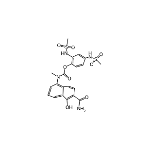 CN(C(=O)Oc1ccc(NS(C)(=O)=O)cc1NS(C)(=O)=O)c1cccc2c(O)c(C(N)=O)ccc12